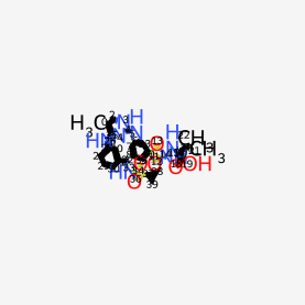 Cc1cnc(Nc2cccc(S(=O)(=O)NN[C@H](C(=O)O)C(C)C)c2)nc1Nc1cccc(CNS(=O)(=O)C2CC2)c1